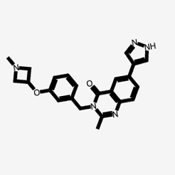 Cc1nc2ccc(-c3cn[nH]c3)cc2c(=O)n1Cc1cccc(OC2CN(C)C2)c1